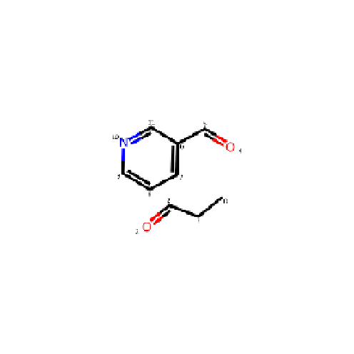 CCC=O.O=Cc1cccnc1